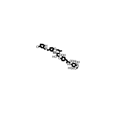 C/C(=C/COc1ccc(CNCc2cccc(Cl)c2)cc1Cl)[C@H]1O[C@@H](Oc2ccc(/C=C(\C)C(=O)N[C@@H]3[C@H](O)[C@@H](O)[C@H]4OCO[C@H]4[C@@H]3O)cc2O)[C@@H](O)[C@@H]1O